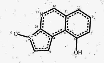 [O-][s+]1ccc2c3c(O)cccc3cnc21